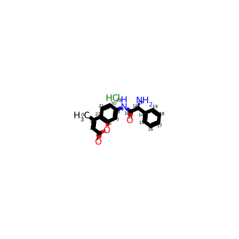 Cc1cc(=O)oc2cc(NC(=O)[C@@H](N)c3ccccc3)ccc12.Cl